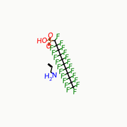 C=CCN.O=S(=O)(O)C(F)C(F)(F)C(F)(F)C(F)(F)C(F)(F)C(F)(F)C(F)(F)C(F)(F)C(F)(F)C(F)(F)C(F)(F)F